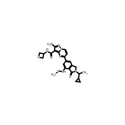 CSNc1cc(-c2ccn3nc(N)c(C(=O)NC4COC4)c3n2)cc2c1C(=O)N(C(C)C1CC1)C2